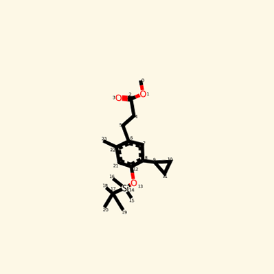 COC(=O)CCc1cc(C2CC2)c(O[Si](C)(C)C(C)(C)C)cc1C